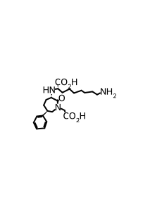 NCCCCCCC[C@H](N[C@H]1CC[C@H](c2ccccc2)CN(CC(=O)O)C1=O)C(=O)O